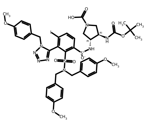 COc1ccc(CN(Cc2ccc(OC)cc2)S(=O)(=O)c2c([S+]([O-])N[C@@H]3CN(C(=O)O)C[C@H]3NC(=O)OC(C)(C)C)ccc(I)c2-c2nnnn2Cc2ccc(OC)cc2)cc1